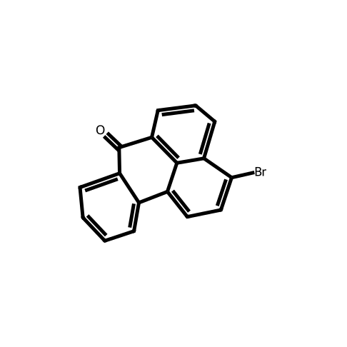 O=C1c2ccccc2-c2ccc(Br)c3cccc1c23